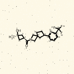 C[C@]1(O)C[C@@H](C(=O)N2CC3(CCC(c4cccc(C(F)(F)F)n4)C3)C2)C1